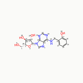 OC[C@H]1OC(n2cnc3c(NCc4ccccc4O)ncnc32)[C@@H](O)[C@@H]1O